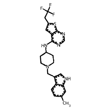 Cc1ccc2c(CN3CCC(Nc4ncnc5sc(CC(F)(F)F)cc45)CC3)c[nH]c2c1